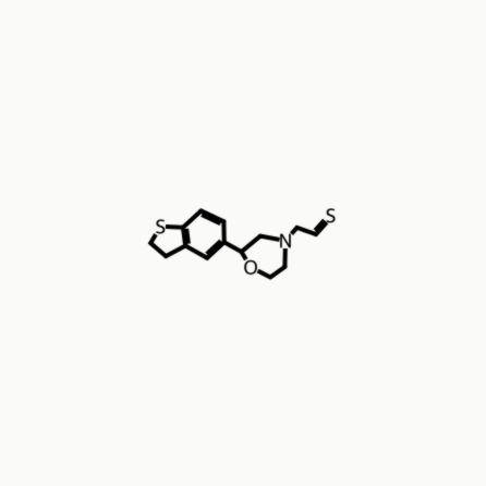 S=CCN1CCOC(c2ccc3c(c2)CCS3)C1